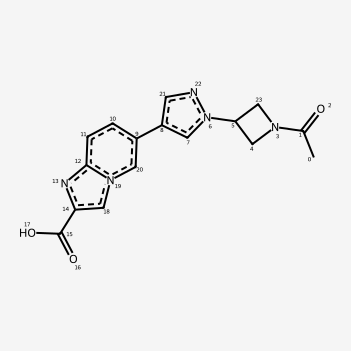 CC(=O)N1CC(n2cc(-c3ccc4nc(C(=O)O)cn4c3)cn2)C1